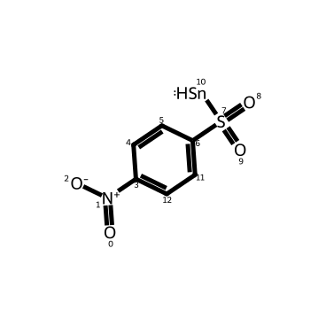 O=[N+]([O-])c1ccc([S](=O)(=O)[SnH])cc1